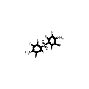 Nc1c(F)c(F)c(S(=O)(=O)c2c(F)c(F)c(N)c(F)c2F)c(F)c1F